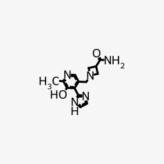 Cc1ncc(CN2CC(C(N)=O)C2)c(-c2ncc[nH]2)c1O